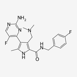 Cc1[nH]c(C(=O)NCc2ccc(F)cc2)c(CN(C)C)c1-c1nc(N)ncc1F